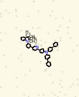 CC1(C)c2ccccc2N(c2cccc(-c3ccc(-c4ccc(N(c5ccc(-c6ccccc6)cc5)c5ccc(-c6ccccc6)cc5)cc4)nc3)c2)C1(C)C